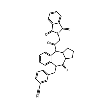 N#Cc1cccc(CN2C(=O)C3CCCC3N(C(=O)CN3C(=O)c4ccccc4C3=O)c3ccccc32)c1